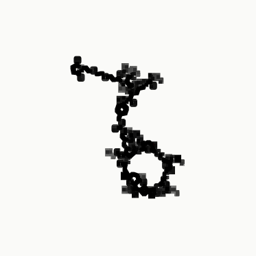 C=C1C[C@@H]2CC[C@@H](OC)C[C@@H](O)[C@@H]3CC4C3O[C@H]3CC[C@H](CC(=O)C[C@@H]5[C@@H](OC)[C@@H](C[C@@H](CNC(=O)OCc6ccc(NC(=O)[C@H](CCCNC(N)=O)NC(=O)[C@@H](NC(=O)CCOCCOCCN7C(=O)C=CC7=O)C(C)C)cc6)OC)O[C@H]5C[C@H]5O[C@H](CCC5=C)CC[C@@H]1O2)O[C@@H]3[C@@H]4O